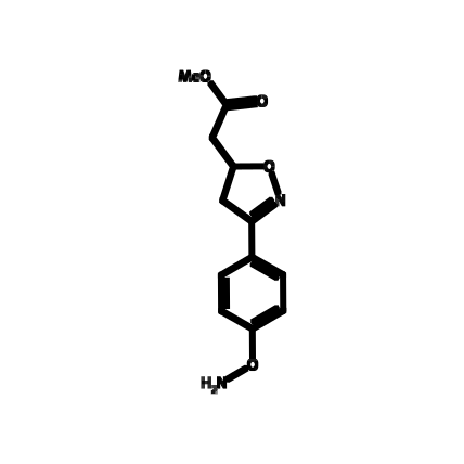 COC(=O)CC1CC(c2ccc(ON)cc2)=NO1